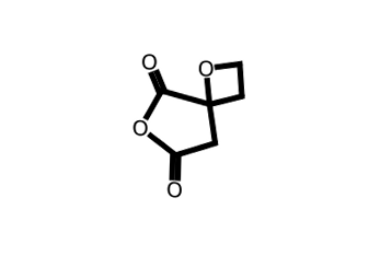 O=C1CC2(CCO2)C(=O)O1